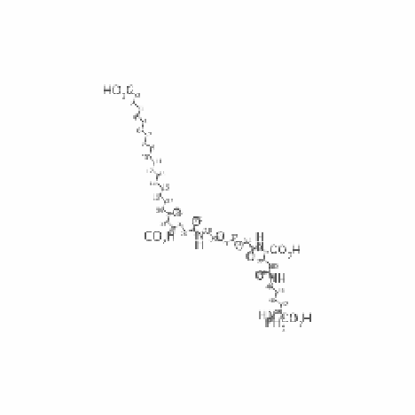 O=C(O)CCCCCCCCCCCCCCCCCCC(=O)C[C@@H](CCC(=O)NCCOCCOCC(=O)N[C@@H](CCC(=O)NCCCC[C@H](NP)C(=O)O)C(=O)O)C(=O)O